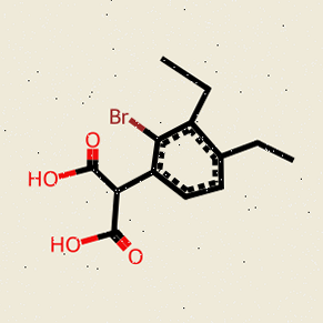 CCc1ccc(C(C(=O)O)C(=O)O)c(Br)c1CC